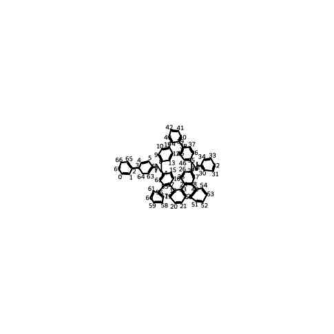 C1=CC(C2C=CC(N(c3ccccc3)c3ccc(-c4ccccc4-c4ccc(N(c5ccccc5)c5ccc(-c6ccccc6)cc5)cc4-c4ccccc4)c(-c4ccccc4)c3)=CC2)=CCC1